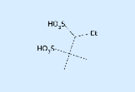 CCC(C(C)(C)S(=O)(=O)O)S(=O)(=O)O